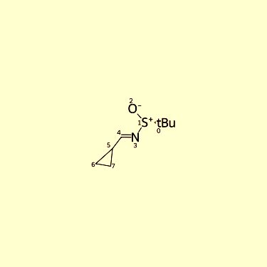 CC(C)(C)[S@@+]([O-])N=CC1CC1